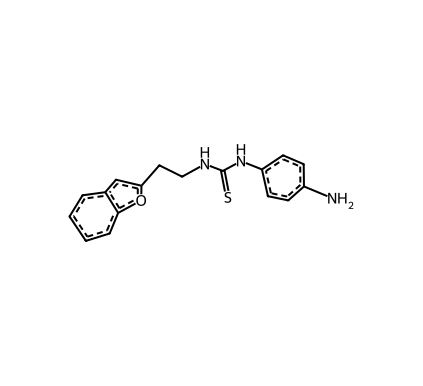 Nc1ccc(NC(=S)NCCc2cc3ccccc3o2)cc1